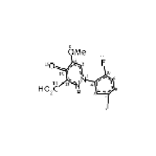 COc1cn(-c2cc(I)ccc2F)nc(C(=O)O)c1=O